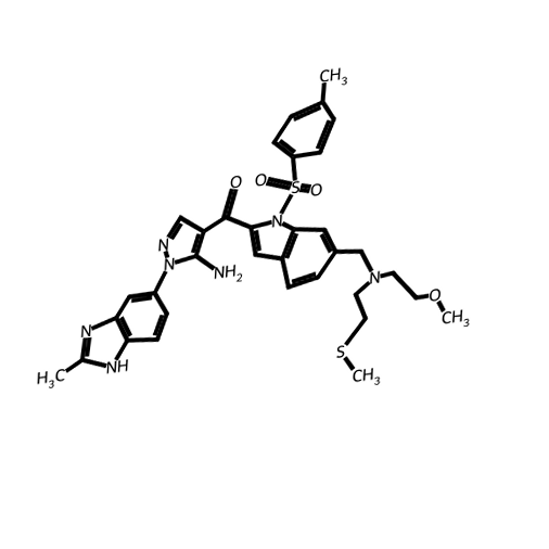 COCCN(CCSC)Cc1ccc2cc(C(=O)c3cnn(-c4ccc5[nH]c(C)nc5c4)c3N)n(S(=O)(=O)c3ccc(C)cc3)c2c1